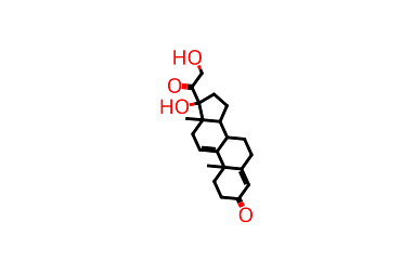 CC12CCC(=O)C=C1CCC1C2=CCC2(C)C1CCC2(O)C(=O)CO